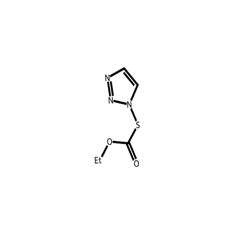 CCOC(=O)Sn1ccnn1